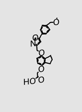 COCc1ccc(-c2cc(COc3ccc(OCC(=O)O)c4c3CCC4)no2)cc1